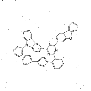 c1ccc(-c2ccc(-c3ccccc3-c3nc(-c4ccc5c(c4)oc4ccccc45)nc(-c4ccc5c(c4)c4ccccc4n5-c4ccccc4)n3)cc2)cc1